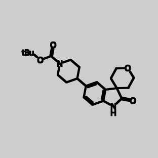 CC(C)(C)OC(=O)N1CCC(c2ccc3c(c2)C2(CCOCC2)C(=O)N3)CC1